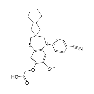 CCCCC1(CCCC)CSc2cc(OCC(=O)O)c(SC)cc2N(c2ccc(C#N)cc2)C1